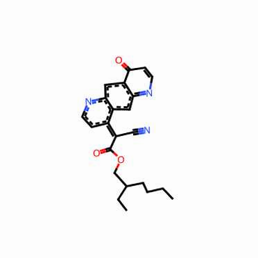 CCCCC(CC)COC(=O)/C(C#N)=c1\ccnc2cc3c(cc12)=NC=CC3=O